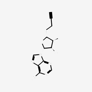 C#CCC[C@H]1O[C@@H](n2cnc3c(N)ncnc32)[C@H](O)[C@@H]1S